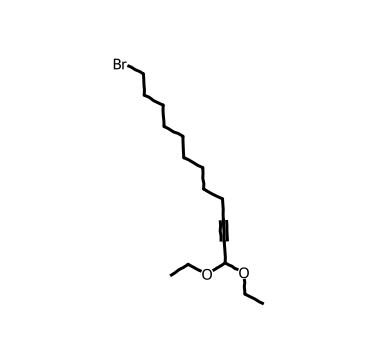 CCOC(C#CCCCCCCCCCBr)OCC